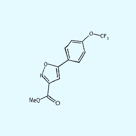 COC(=O)c1cc(-c2ccc(OC(F)(F)F)cc2)on1